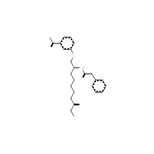 CCC(=O)CCCCCC(CNc1cccc(C(C)=O)c1)NC(=O)Cc1ccccc1